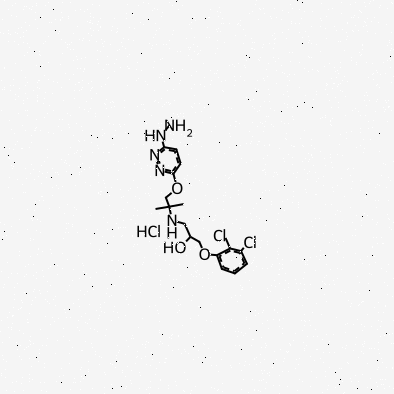 CC(C)(COc1ccc(NN)nn1)NCC(O)COc1cccc(Cl)c1Cl.Cl